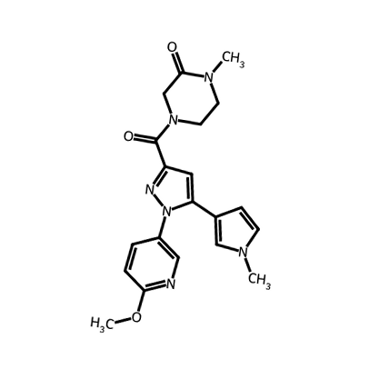 COc1ccc(-n2nc(C(=O)N3CCN(C)C(=O)C3)cc2-c2ccn(C)c2)cn1